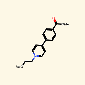 COCC[n+]1ccc(-c2ccc(C(=O)OC)cc2)cc1